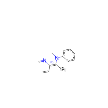 C=C/C(N=C)=C(\C(C)C)N(C)c1ccccc1